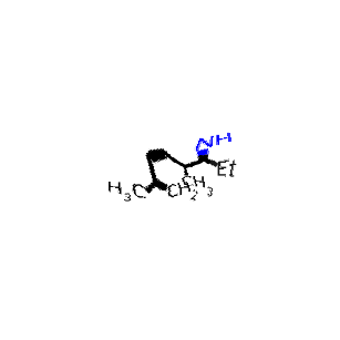 C=C(C)/C=C\[C@H](C)C(=N)CC